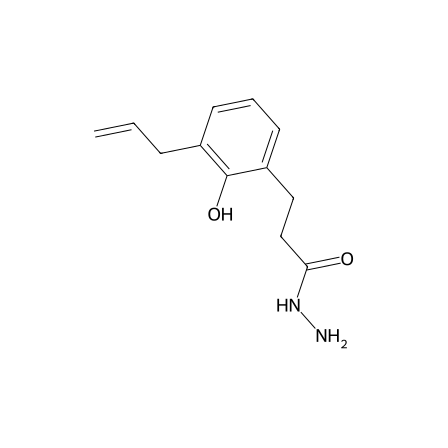 C=CCc1cccc(CCC(=O)NN)c1O